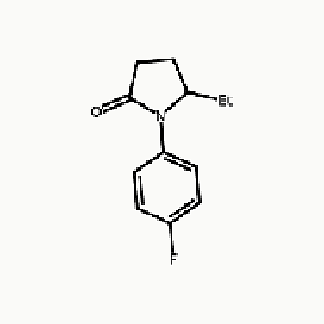 CCC1CCC(=O)N1c1ccc(F)cc1